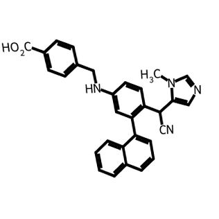 Cn1cncc1C(C#N)c1ccc(NCc2ccc(C(=O)O)cc2)cc1-c1cccc2ccccc12